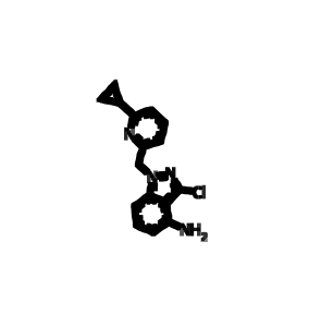 Nc1cccc2c1c(Cl)nn2Cc1cccc(C2CC2)n1